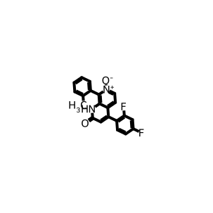 Cc1ccccc1-c1c2[nH]c(=O)cc(-c3ccc(F)cc3F)c2cc[n+]1[O-]